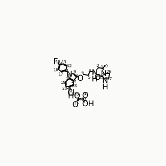 CC(CNCCCOc1cn(-c2ccc(F)cc2)c2ccc(Cl)cc12)N1CCNC1=O.O=C(O)C(=O)O